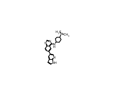 CN(C)C1CCC(Nc2ncnc3ccc(-c4cnc5[nH]ccc5c4)cc23)CC1